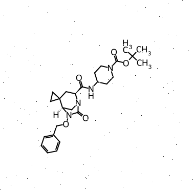 CC(C)(C)OC(=O)N1CCC(NC(=O)[C@@H]2CC3(CC3)[C@H]3CN2C(=O)N3OCc2ccccc2)CC1